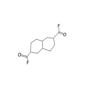 O=C(F)C1CCC2CC(C(=O)F)CCC2C1